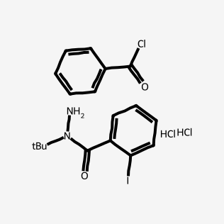 CC(C)(C)N(N)C(=O)c1ccccc1I.Cl.Cl.O=C(Cl)c1ccccc1